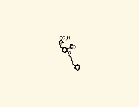 O=C(O)C1CN(Cc2ccc(OCCCCCc3ccccc3)c(-c3ccoc3)c2)C1